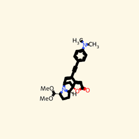 COC(OC)[C@H]1CC[C@H]2N1C1C=C(C#Cc3ccc(N(C)C)cc3)C3=CC(=O)O[C@@]32C1